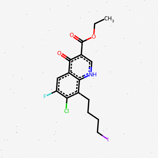 CCOC(=O)c1c[nH]c2c(CCCCI)c(Cl)c(F)cc2c1=O